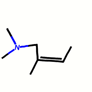 CC=C(C)CN(C)C